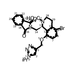 CC(C)n1cc(COc2ccc(Br)c3c2[C@@H](CN2C(=O)c4ccccc4C2=O)N(C(=O)O)CC3)nn1